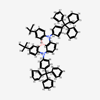 CC(C)(C)c1ccc2c(c1)B1c3cc(C(C)(C)C)ccc3N(c3ccc(C(c4ccccc4)(c4ccccc4)c4ccccc4)cc3)c3cccc(c31)N2c1ccc(C(c2ccccc2)(c2ccccc2)c2ccccc2)cc1